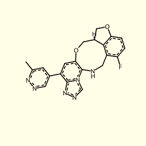 Cc1cc(-c2cc3c(n4cnnc24)NCc2c(F)ccc4c2[C@@H](CO4)CO3)cnn1